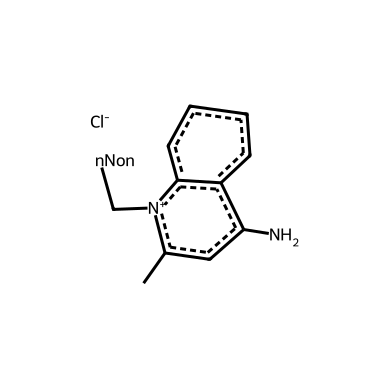 CCCCCCCCCC[n+]1c(C)cc(N)c2ccccc21.[Cl-]